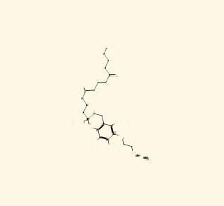 Cc1c(C)c2c(c(C)c1OCCN=[N+]=[N-])CCC(C)(CCCC(C)CCCC(C)CCCC(C)C)O2